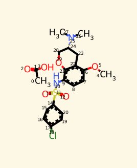 CC(=O)O.COc1ccc(NS(=O)(=O)c2ccc(Cl)cc2)c2c1C[C@@H](N(C)C)CO2